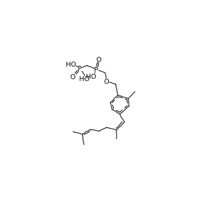 CC(C)=CCCC(C)=Cc1ccc(COCP(=O)(O)CP(=O)(O)O)c(C)c1